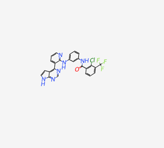 O=C(Nc1cccc(Nc2ncccc2-c2ncnc3[nH]ccc23)c1)c1cccc(C(F)(F)F)c1Cl